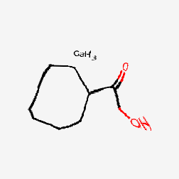 O=C(O)C1CCCCCC1.[GaH3]